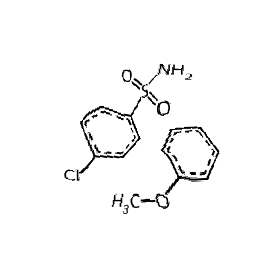 COc1ccccc1.NS(=O)(=O)c1ccc(Cl)cc1